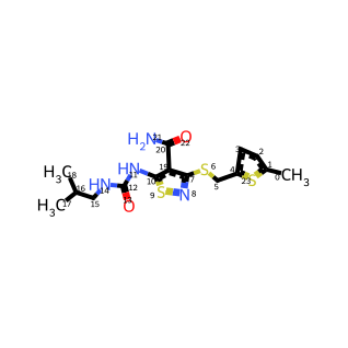 Cc1ccc(CSc2nsc(NC(=O)NCC(C)C)c2C(N)=O)s1